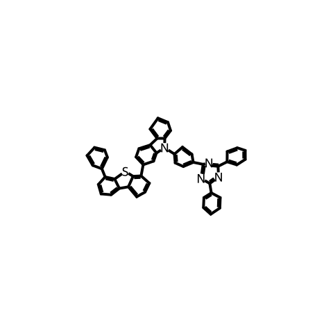 c1ccc(-c2nc(-c3ccccc3)nc(-c3ccc(-n4c5ccccc5c5ccc(-c6cccc7c6sc6c(-c8ccccc8)cccc67)cc54)cc3)n2)cc1